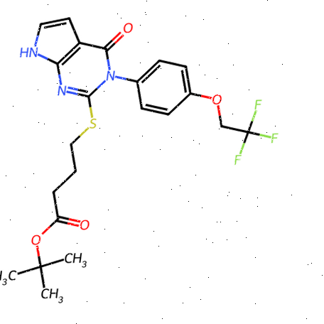 CC(C)(C)OC(=O)CCCSc1nc2[nH]ccc2c(=O)n1-c1ccc(OCC(F)(F)F)cc1